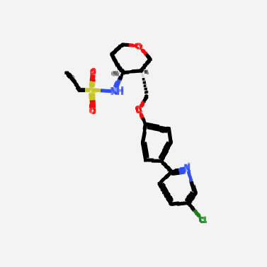 CCS(=O)(=O)N[C@H]1CCOC[C@@H]1COc1ccc(-c2ccc(Cl)cn2)cc1